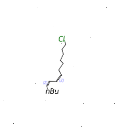 CCCC/C=C\C=C/CCCCCCCl